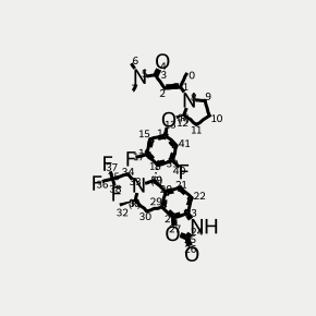 CC(=CC(=O)N(C)C)N1CCC[C@H]1Oc1cc(F)c([C@@H]2c3ccc4[nH]c(=O)oc4c3C[C@@H](C)N2CC(F)(F)F)c(F)c1